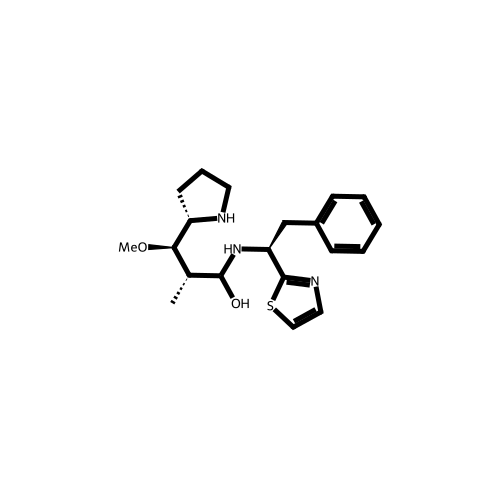 CO[C@@H]([C@@H]1CCCN1)[C@@H](C)C(O)N[C@@H](Cc1ccccc1)c1nccs1